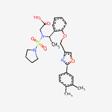 Cc1ccc(-c2nc(COc3ccccc3C(C)N(CC(=O)O)S(=O)(=O)N3CCCC3)co2)cc1C